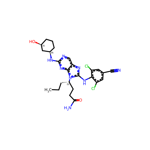 CCC[C@@H](CCC(N)=O)n1c(Nc2c(Cl)cc(C#N)cc2Cl)nc2cnc(N[C@@H]3CCC[C@H](O)C3)nc21